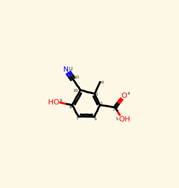 Cc1c(C(=O)O)ccc(O)c1C#N